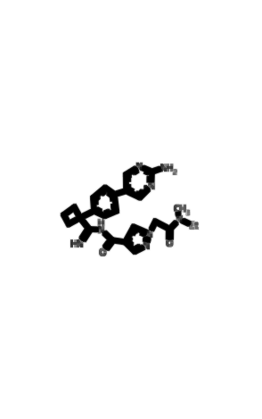 CCN(C)C(=O)Cn1cc(C(=O)NC(=N)C2(c3ccc(-c4cnc(N)nc4)cc3)CCC2)cn1